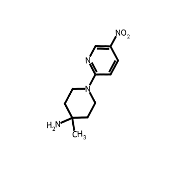 CC1(N)CCN(c2ccc([N+](=O)[O-])cn2)CC1